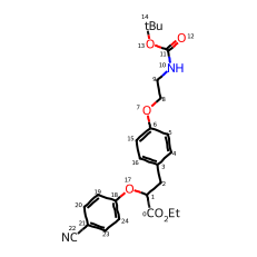 CCOC(=O)C(Cc1ccc(OCCNC(=O)OC(C)(C)C)cc1)Oc1ccc(C#N)cc1